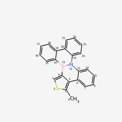 Cc1scc2c1-c1ccccc1N1B2c2ccccc2-c2ccccc21